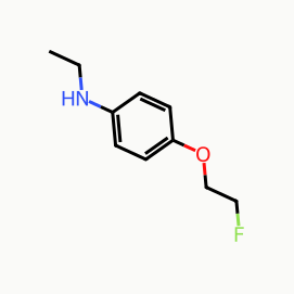 CCNc1ccc(OCCF)cc1